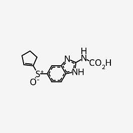 O=C(O)Nc1nc2cc([S+]([O-])C3=CCCC3)ccc2[nH]1